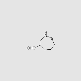 O=[C]C1CCCSNC1